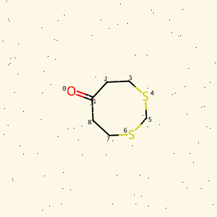 O=C1CCSCSCC1